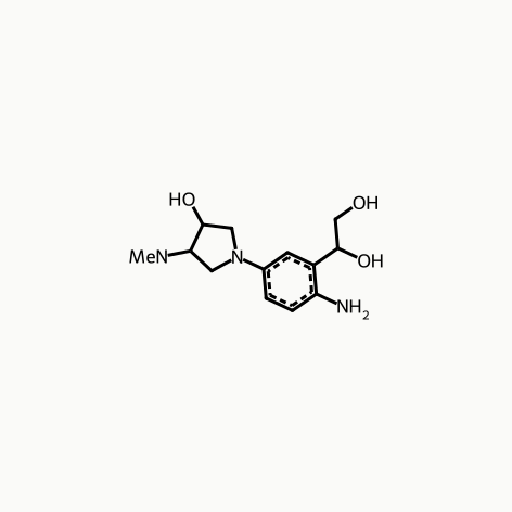 CNC1CN(c2ccc(N)c(C(O)CO)c2)CC1O